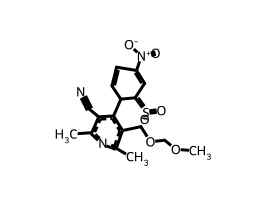 COCOCc1c(C)nc(C)c(C#N)c1C1C=CC([N+](=O)[O-])=CC1=S(=O)=O